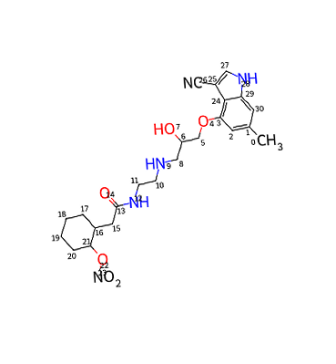 Cc1cc(OCC(O)CNCCNC(=O)CC2CCCCC2O[N+](=O)[O-])c2c(C#N)c[nH]c2c1